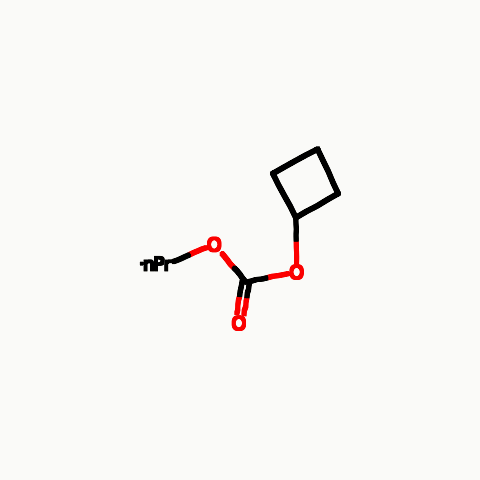 CC[CH]OC(=O)OC1CCC1